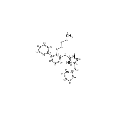 CCCCCc1c(Cc2nsc(=Nc3ccccc3)[nH]2)cccc1-c1ccccc1